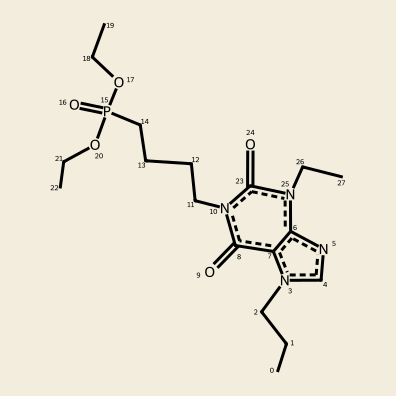 CCCn1cnc2c1c(=O)n(CCCCP(=O)(OCC)OCC)c(=O)n2CC